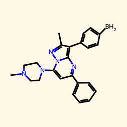 Bc1ccc(-c2c(C)nn3c(N4CCN(C)CC4)cc(-c4ccccc4)nc23)cc1